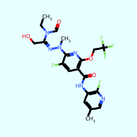 CCN(C=O)/C(CO)=N\N(C)c1nc(OCC(F)(F)F)c(C(=O)Nc2cc(C)cnc2F)cc1F